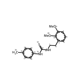 COc1cccc(CCNC(=S)Nc2ccc(C)cc2)c1OC